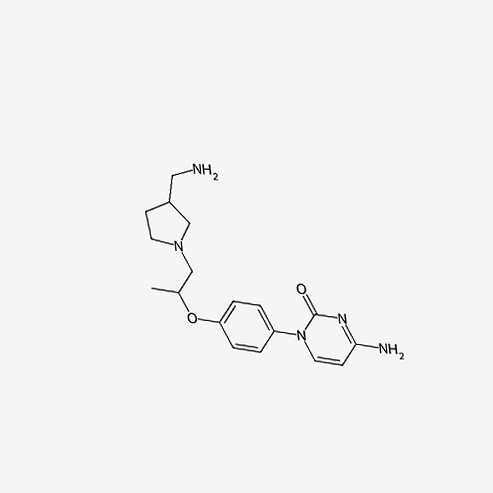 CC(CN1CCC(CN)C1)Oc1ccc(-n2ccc(N)nc2=O)cc1